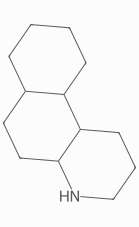 C1CCC2C(C1)CCC1NCCCC12